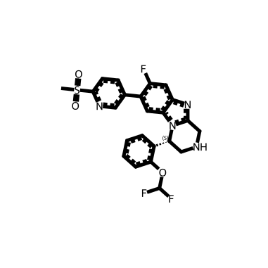 CS(=O)(=O)c1ccc(-c2cc3c(cc2F)nc2n3[C@@H](c3ccccc3OC(F)F)CNC2)cn1